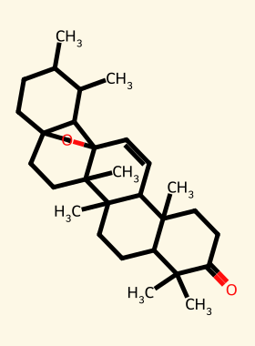 CC1CCC23CCC4(C)C5(C)CCC6C(C)(C)C(=O)CCC6(C)C5C=CC4(OC2)C3C1C